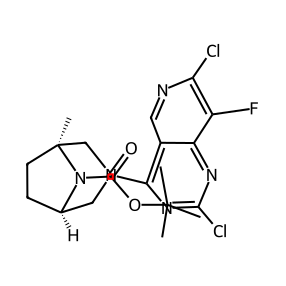 CC(C)(C)OC(=O)N1[C@@H]2CC[C@@]1(C)CN(c1nc(Cl)nc3c(F)c(Cl)ncc13)C2